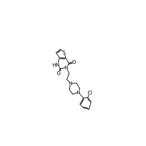 O=c1[nH]c2ccsc2c(=O)n1CCN1CCN(c2ccccc2Cl)CC1